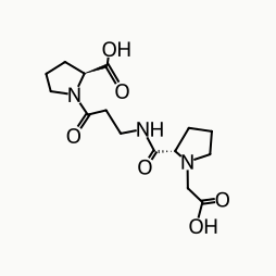 O=C(O)CN1CCC[C@H]1C(=O)NCCC(=O)N1CCC[C@H]1C(=O)O